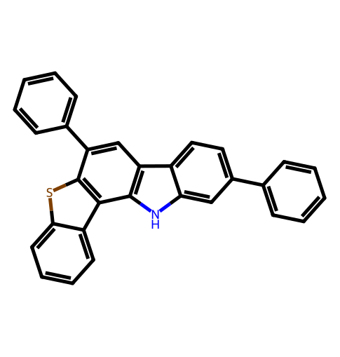 c1ccc(-c2ccc3c(c2)[nH]c2c3cc(-c3ccccc3)c3sc4ccccc4c32)cc1